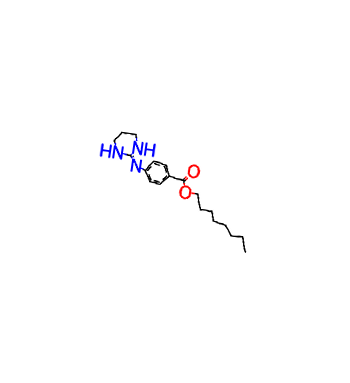 CCCCCCCCOC(=O)c1ccc(N=C2NCCCN2)cc1